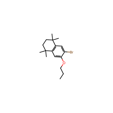 CCCOc1cc2c(cc1Br)C(C)(C)CCC2(C)C